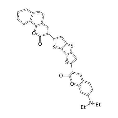 CCN(CC)c1ccc2cc(-c3cc4sc5cc(-c6cc7ccc8ccccc8c7oc6=O)sc5c4s3)c(=O)oc2c1